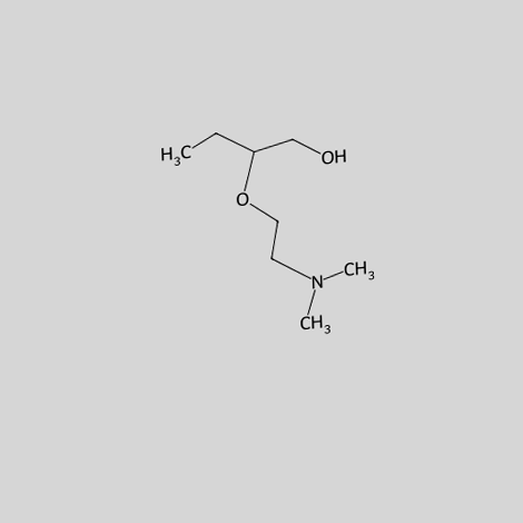 CCC(CO)OCCN(C)C